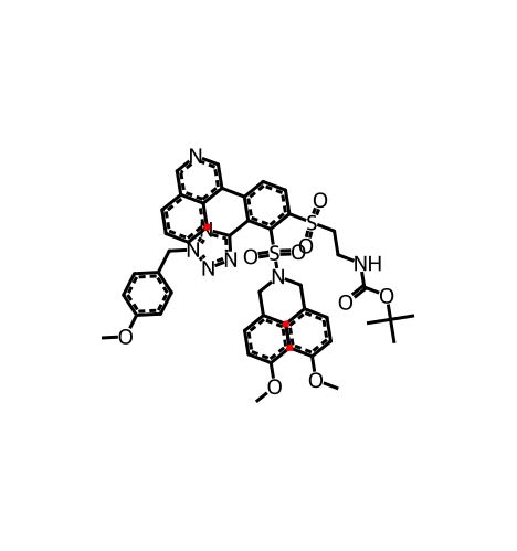 COc1ccc(CN(Cc2ccc(OC)cc2)S(=O)(=O)c2c(S(=O)(=O)CCNC(=O)OC(C)(C)C)ccc(-c3cncc4ccccc34)c2-c2nnn(Cc3ccc(OC)cc3)n2)cc1